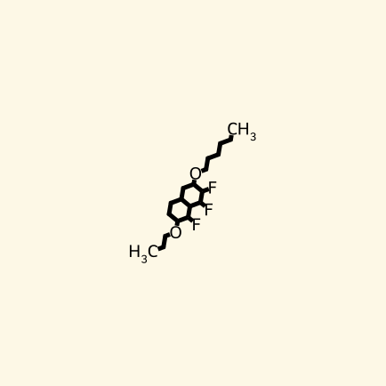 CCCCCCOC1CC2CCC(OCCC)C(F)C2C(F)C1F